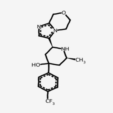 C[C@H]1CC(O)(c2ccc(C(F)(F)F)cc2)C[C@@H](c2cnc3n2CCOC3)N1